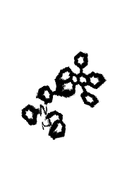 c1ccc(-c2c3c(c(-c4ccccc4)c4ccccc24)-c2ccc(-c4cccc(N(c5ccccc5)c5ccc6ccccc6n5)c4)c4cccc-3c24)cc1